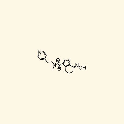 CN(CCc1ccncc1)S(=O)(=O)c1csc2c1CCCC2=NO